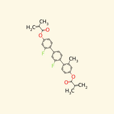 C=C(C)C(=O)Oc1ccc(-c2ccc(-c3ccc(OC(=O)C(=C)C)cc3F)cc2F)c(C)c1